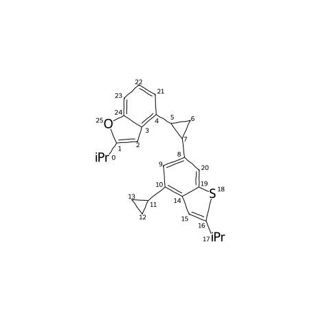 CC(C)c1cc2c(C3CC3c3cc(C4CC4)c4cc(C(C)C)sc4c3)cccc2o1